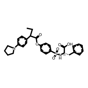 CCC(C(=O)Oc1ccc(S(=O)(=O)N[C@@H](Cc2ccccc2)C(=O)O)cc1)c1ccc(N2CCCC2)cc1